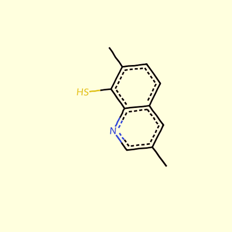 Cc1cnc2c(S)c(C)ccc2c1